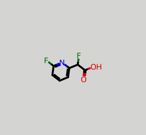 O=C(O)C(F)c1cccc(F)n1